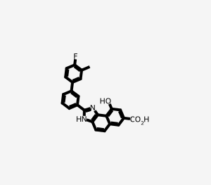 Cc1cc(-c2cccc(-c3nc4c(ccc5cc(C(=O)O)cc(O)c54)[nH]3)c2)ccc1F